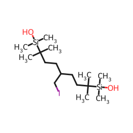 CC(C)(CCC(CI)CCC(C)(C)[Si](C)(C)O)[Si](C)(C)O